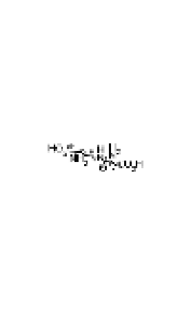 NC(CC(=O)O)C(=O)NCCCC[C@H](N)C(=O)O